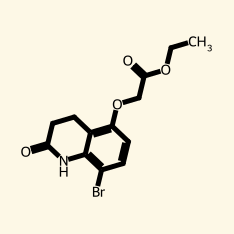 CCOC(=O)COc1ccc(Br)c2c1CCC(=O)N2